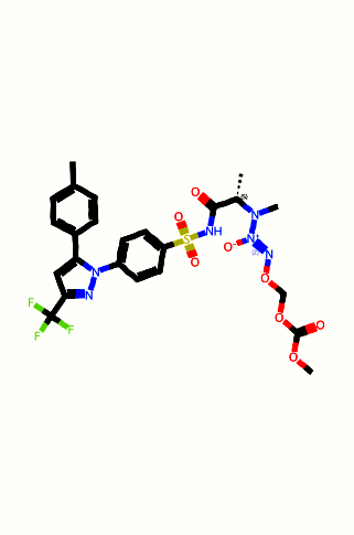 COC(=O)OCO/N=[N+](\[O-])N(C)[C@@H](C)C(=O)NS(=O)(=O)c1ccc(-n2nc(C(F)(F)F)cc2-c2ccc(C)cc2)cc1